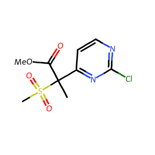 COC(=O)C(C)(c1ccnc(Cl)n1)S(C)(=O)=O